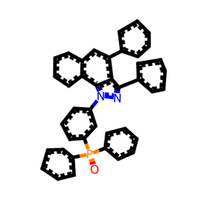 O=P(c1ccccc1)(c1ccccc1)c1cccc(-n2nc(-c3ccccc3)c3c(-c4ccccc4)cc4ccccc4c32)c1